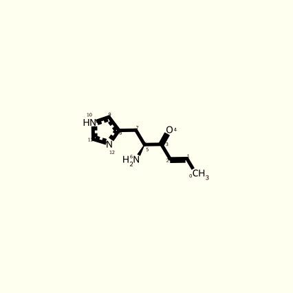 C/C=C/C(=O)[C@@H](N)Cc1c[nH]cn1